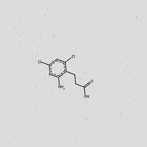 Nc1nc(Cl)cc(Cl)c1CCC(=O)O